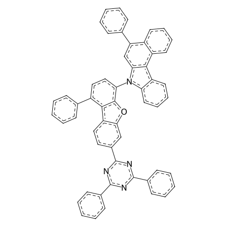 c1ccc(-c2nc(-c3ccccc3)nc(-c3ccc4c(c3)oc3c(-n5c6ccccc6c6c7ccccc7c(-c7ccccc7)cc65)ccc(-c5ccccc5)c34)n2)cc1